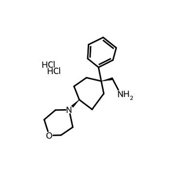 Cl.Cl.NC[C@]1(c2ccccc2)CC[C@H](N2CCOCC2)CC1